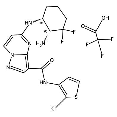 N[C@@H]1[C@H](Nc2ccn3ncc(C(=O)Nc4ccsc4Cl)c3n2)CCCC1(F)F.O=C(O)C(F)(F)F